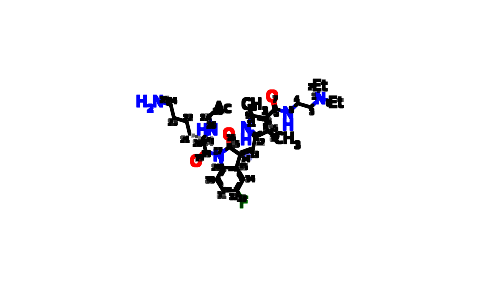 CCN(CC)CCNC(=O)c1c(C)[nH]c(/C=C2\C(=O)N(C(=O)[C@H](CCCCN)NCC(C)=O)c3ccc(F)cc32)c1C